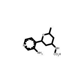 CC1CC(NC(=O)O)CC(c2ccncc2N)O1